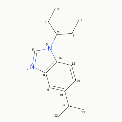 CCC(CC)n1cnc2cc(C(C)C)ccc21